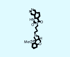 COc1cccc2c1[C@@H]1CN(CCCCn3c(=O)[nH]c4c(ccc5cnncc54)c3=O)C[C@@H]1CO2